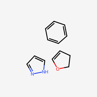 C1=COCC1.c1ccccc1.c1cn[nH]c1